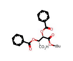 CC(C)(C)OC(=O)[C@H](OC(=O)c1ccccc1)[C@@H](OC(=O)c1ccccc1)C(=O)O